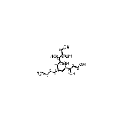 NCCCN(CCC(O)CCO)C[C@H](O)[C@@H](O)C(O)CO